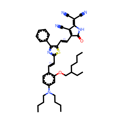 CCCCC(CC)COc1cc(N(CCCC)CCCC)ccc1/C=C/c1nc(-c2ccccc2)c(/C=C/C2=C(C#N)C(=C(C#N)C#N)NC2=O)s1